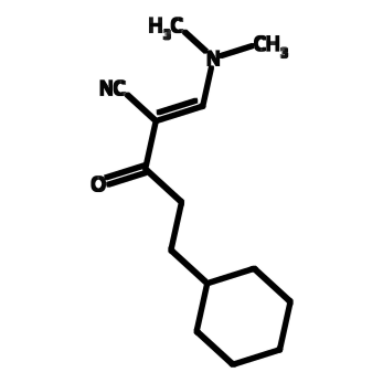 CN(C)C=C(C#N)C(=O)CCC1CCCCC1